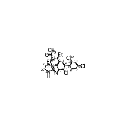 CCC(c1cc(-c2ccc(Cl)cc2Cl)c(Cl)c2nc3n(c12)CCCN3)N(CC)C(=O)C(F)(F)F